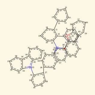 c1ccc(-c2ccccc2-c2c(-c3ccccc3)cccc2N(c2ccc(-c3ccccc3-n3c4ccccc4c4ccccc43)cc2)c2cccc3c2oc2ccccc23)cc1